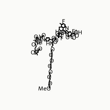 CC[C@@]1(O)C(=O)OCc2c1cc1n(c2=O)Cc2c-1nc1cc(F)c(C)c3c1c2[C@@H](NC(=O)C(C)(NC(=O)OC(C(=O)NCCOCCOCCOCCOCCOCCOCCOCCOC)c1ccc(NC(=O)[C@H](C)NC(=O)[C@H](C)NC(=O)CCN2C(=O)CC(C)(C)C2=O)cc1)C(F)F)CC3